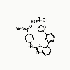 CNC(=O)C1CCC(Nc2nc3cccc(-c4cccc(-c5ccc(P(=O)(O)O)o5)c4)c3s2)CC1